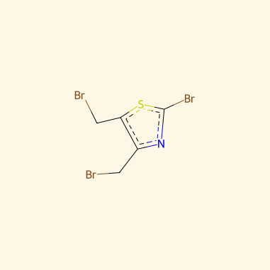 BrCc1nc(Br)sc1CBr